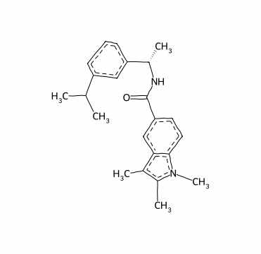 Cc1c(C)n(C)c2ccc(C(=O)N[C@@H](C)c3cccc(C(C)C)c3)cc12